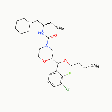 CNC[C@H](CC1CCCCC1)NC(=O)N1CCO[C@@H](C(OCCCOC)c2cccc(Cl)c2F)C1